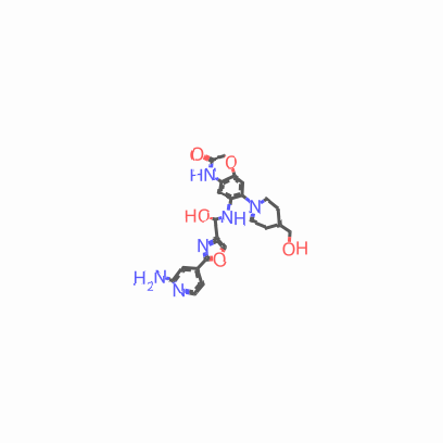 Nc1cc(-c2nc(C(O)Nc3cc4c(cc3N3CCC(CO)CC3)OCC(=O)N4)co2)ccn1